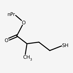 CCCOC(=O)C(C)CCS